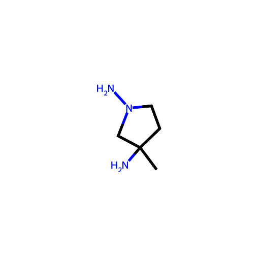 CC1(N)CCN(N)C1